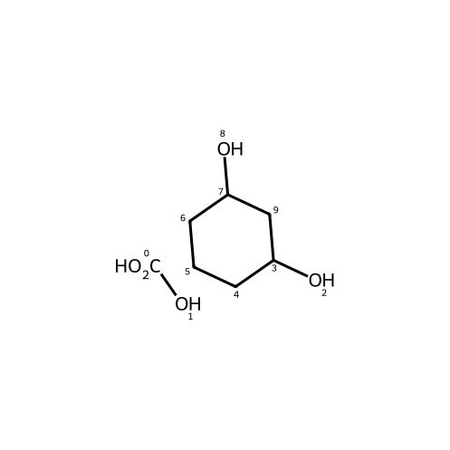 O=C(O)O.OC1CCCC(O)C1